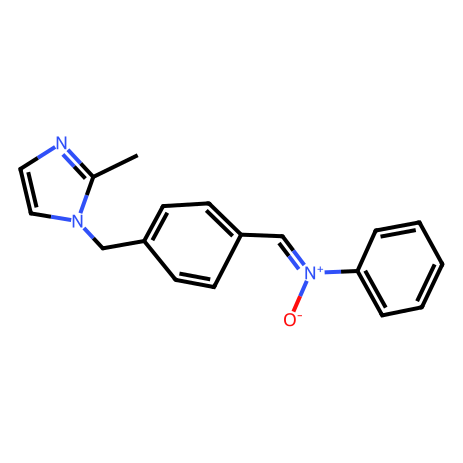 Cc1nccn1Cc1ccc(C=[N+]([O-])c2ccccc2)cc1